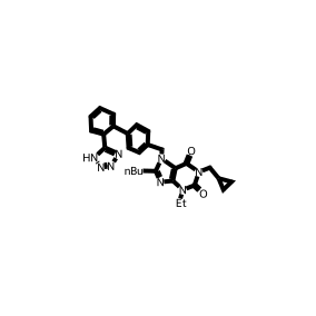 CCCCc1nc2c(c(=O)n(CC3CC3)c(=O)n2CC)n1Cc1ccc(-c2ccccc2-c2nnn[nH]2)cc1